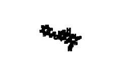 C=C/N=C(/Nc1ccc(OCCN2CCCCC2)nc1)N(C)C(C)C#N